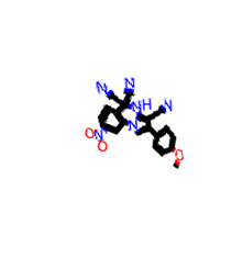 COc1ccc(-c2cn3c(c2C#N)NC(C#N)(C#N)c2ccc([N+](=O)[O-])cc2-3)cc1